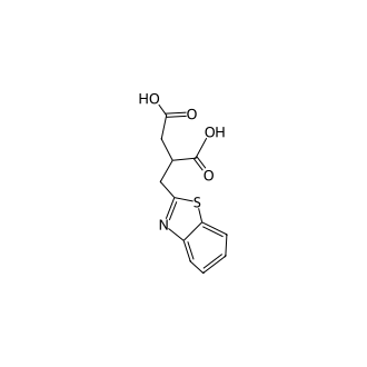 O=C(O)CC(Cc1nc2ccccc2s1)C(=O)O